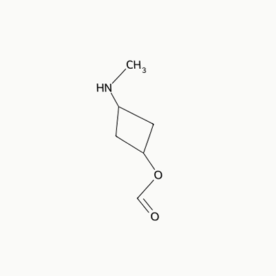 CNC1CC(OC=O)C1